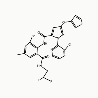 O=C(NCC(F)F)c1cc(Cl)cc(Br)c1NC(=O)c1cc(Oc2ccsc2)nn1-c1ncccc1Cl